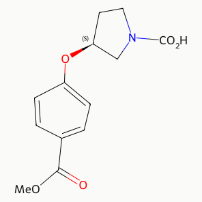 COC(=O)c1ccc(O[C@H]2CCN(C(=O)O)C2)cc1